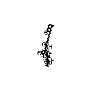 C=C[C@@H]1C[C@]1(NC(=O)[C@@H]1C[C@H](OC)CN1C(=O)CNC(=O)OCCCCCCc1cc2c(cc1OC)C=CC1CC21)C(=O)NS(=O)(=O)C1CC1